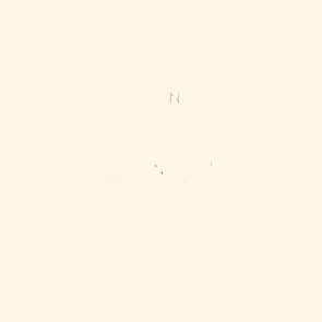 C[N+](C)(CCl)CCN1C(=O)c2cccc3cccc(c23)C1=O